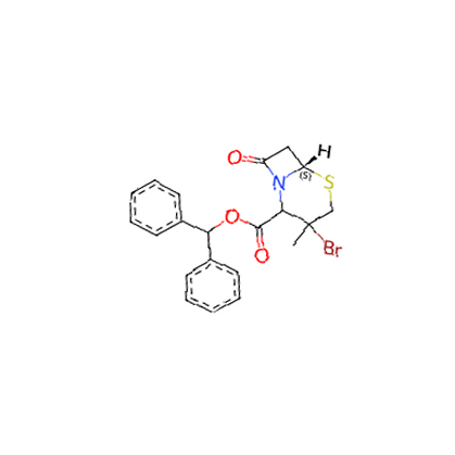 CC1(Br)CS[C@H]2CC(=O)N2C1C(=O)OC(c1ccccc1)c1ccccc1